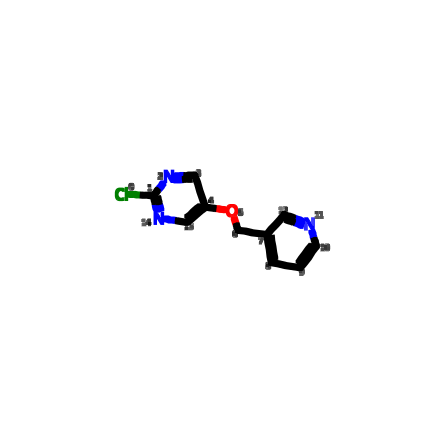 Clc1ncc(OCc2cccnc2)cn1